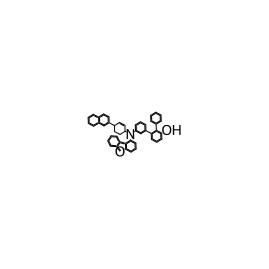 Oc1cccc(-c2cccc(N(c3cccc4oc5ccccc5c34)C3C=CC(c4ccc5ccccc5c4)CC3)c2)c1-c1ccccc1